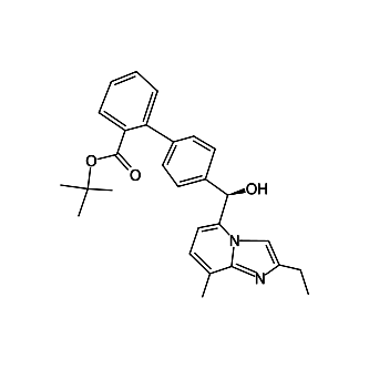 CCc1cn2c([C@H](O)c3ccc(-c4ccccc4C(=O)OC(C)(C)C)cc3)ccc(C)c2n1